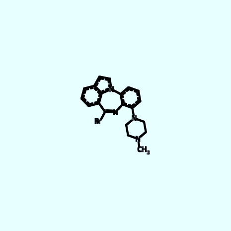 CN1CCN(c2cccc3c2N=C(Br)c2cccc4ccn-3c24)CC1